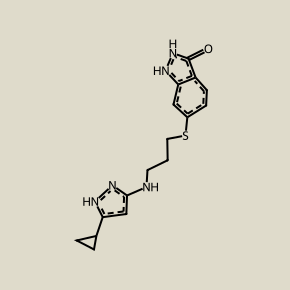 O=c1[nH][nH]c2cc(SCCCNc3cc(C4CC4)[nH]n3)ccc12